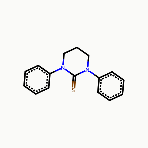 S=C1N(c2ccccc2)CCCN1c1ccccc1